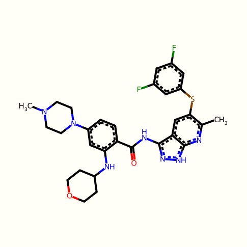 Cc1nc2[nH]nc(NC(=O)c3ccc(N4CCN(C)CC4)cc3NC3CCOCC3)c2cc1Sc1cc(F)cc(F)c1